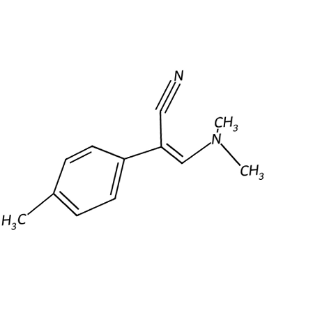 Cc1ccc(C(C#N)=CN(C)C)cc1